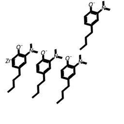 CCCCc1ccc([O-])c(N(C)C)c1.CCCCc1ccc([O-])c(N(C)C)c1.CCCCc1ccc([O-])c(N(C)C)c1.CCCCc1ccc([O-])c(N(C)C)c1.[Zr+4]